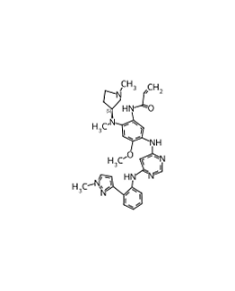 C=CC(=O)Nc1cc(Nc2cc(Nc3ccccc3-c3ccn(C)n3)ncn2)c(OC)cc1N(C)[C@H]1CCN(C)C1